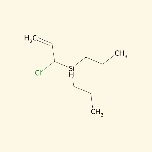 C=CC(Cl)[SiH](CCC)CCC